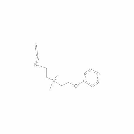 C[N+](C)(CCN=C=S)CCOc1ccccc1